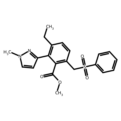 CCc1ccc(CS(=O)(=O)c2ccccc2)c(C(=O)OC)c1-c1ccn(C)n1